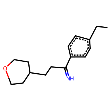 CCc1ccc(C(=N)CCC2CCOCC2)cc1